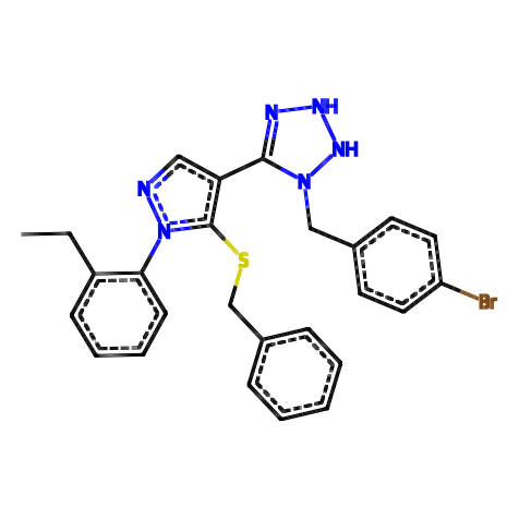 CCc1ccccc1-n1ncc(C2=NNNN2Cc2ccc(Br)cc2)c1SCc1ccccc1